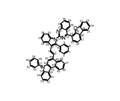 C(=C\c1c(-c2ccccc2)n(-c2nc(-c3cccc4c3oc3ccccc34)c3ccccc3n2)c2ccccc12)/c1cc2c(c3ccccc13)c1ccccc1n2-c1ccccc1